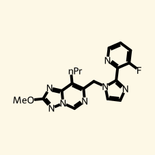 CCCc1c(Cn2ccnc2-c2ncccc2F)ncn2nc(OC)nc12